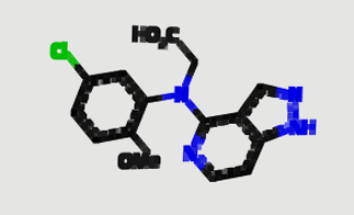 COc1ccc(Cl)cc1N(CC(=O)O)c1nccc2[nH]ncc12